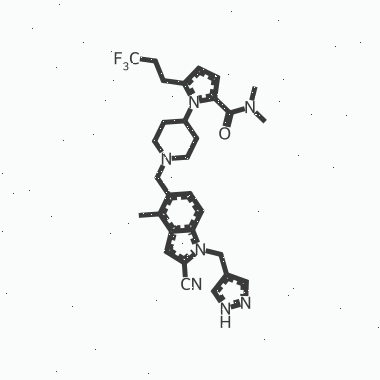 Cc1c(CN2CCC(n3c(CCC(F)(F)F)ccc3C(=O)N(C)C)CC2)ccc2c1cc(C#N)n2Cc1cn[nH]c1